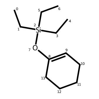 CC[Si](CC)(CC)OC1=CCCCC1